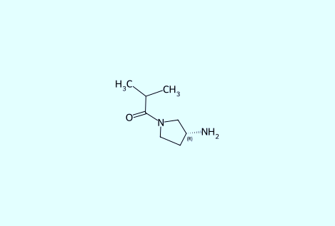 CC(C)C(=O)N1CC[C@@H](N)C1